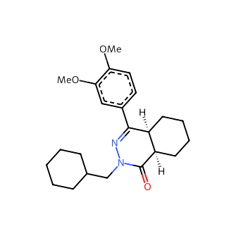 COc1ccc(C2=NN(CC3CCCCC3)C(=O)[C@@H]3CCCC[C@H]23)cc1OC